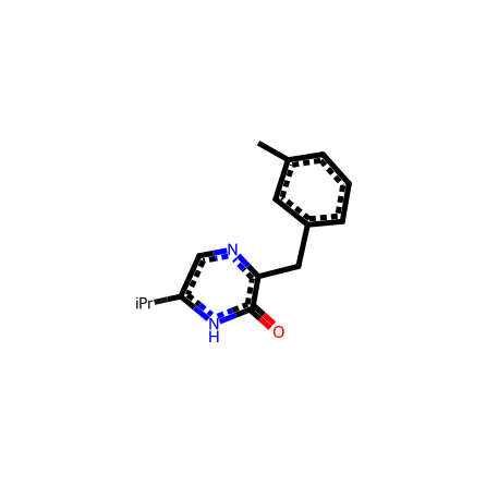 Cc1cccc(Cc2ncc(C(C)C)[nH]c2=O)c1